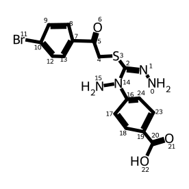 N/N=C(/SCC(=O)c1ccc(Br)cc1)N(N)c1ccc(C(=O)O)cc1